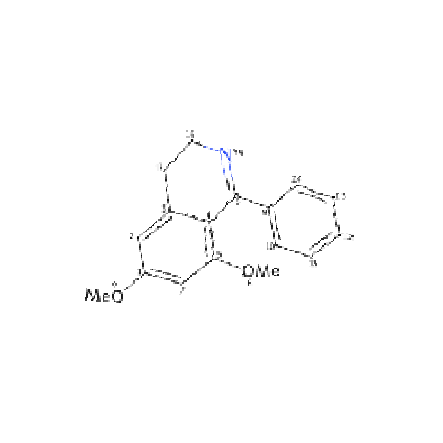 COc1cc2c(c(OC)c1)C(c1ccccc1)=NCC2